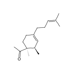 CC(=O)[C@@]1(C)CCC(CCC=C(C)C)=C[C@H]1C